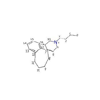 CCCCN1CCC2(CCCCc3ccccc32)CC1